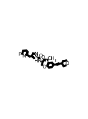 CN1C(=O)[C@@H](NC(=O)n2cc(Cc3cccc(F)n3)cn2)COc2ccc(C#CC3CCOCC3)cc21